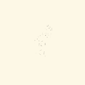 CCOc1cc(F)cc(-c2ccc(C(=O)NS(=O)(=O)c3ccn[nH]3)c(N3[C@H](C)CC[C@@H]3C)n2)c1